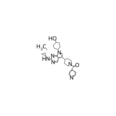 CC[C@H]1C[C@@H]1Nc1ncc2c(C3CCN(C(=O)c4ccncc4)CC3)cn([C@H]3CC[C@H](O)CC3)c2n1